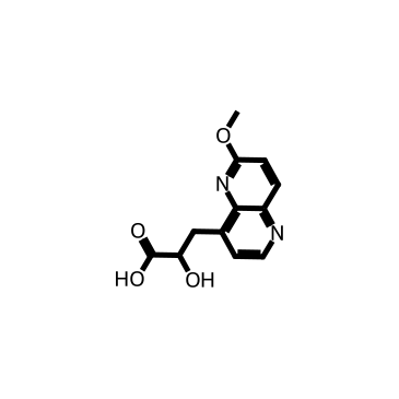 COc1ccc2nccc(CC(O)C(=O)O)c2n1